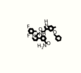 Cc1cc2[nH]cc(CC(=O)N[C@@H](Cc3cc(F)cc(F)c3)c3ncccc3-c3cccc(C(N)=O)c3)c2cc1OCC1=CCCC=C1